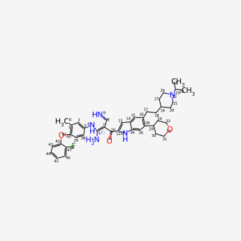 Cc1cc(N/C(N)=C(\C=N)C(=O)c2cc3cc(CCC4CCN(C(C)C)CC4)c(C4CCOCC4)cc3[nH]2)ccc1Oc1ccccc1F